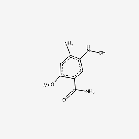 COc1cc(N)c(NO)cc1C(N)=O